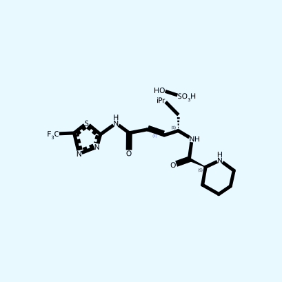 CC(C)C[C@@H](/C=C/C(=O)Nc1nnc(C(F)(F)F)s1)NC(=O)[C@@H]1CCCCN1.O=S(=O)(O)O